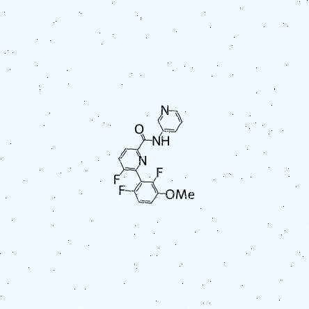 COc1ccc(F)c(-c2nc(C(=O)Nc3cccnc3)ccc2F)c1F